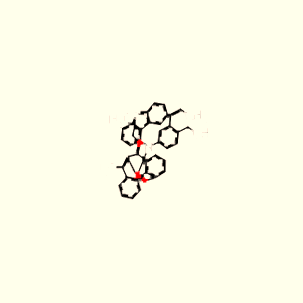 C=CC/C=C1\C2=C(C)c3ccccc3-c3c1cccc3-c1ccc(N(c3ccc(CC)c(/C=C\C)c3)c3cccc4sc5ccccc5c34)cc12